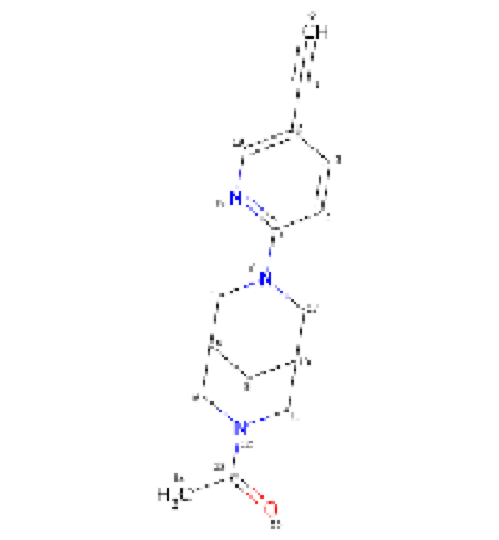 C#Cc1ccc(N2CC3CC(CN(C(C)=O)C3)C2)nc1